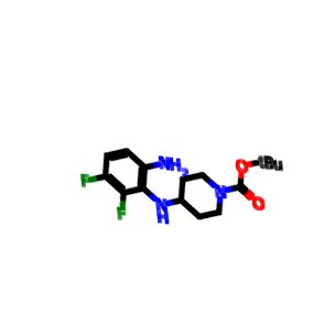 CC(C)(C)OC(=O)N1CCC(Nc2c(N)ccc(F)c2F)CC1